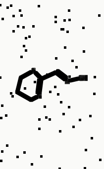 O/N=C/C1=NCCCS1